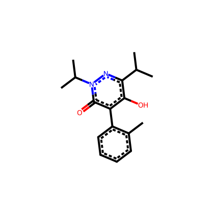 Cc1ccccc1-c1c(O)c(C(C)C)nn(C(C)C)c1=O